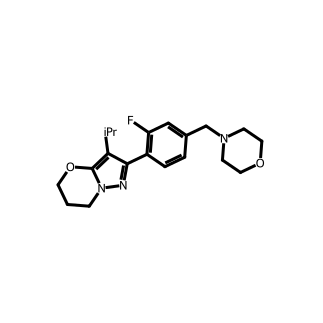 CC(C)c1c(-c2ccc(CN3CCOCC3)cc2F)nn2c1OCCC2